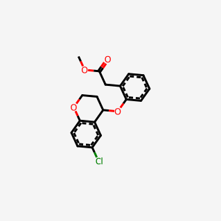 COC(=O)Cc1ccccc1OC1CCOc2ccc(Cl)cc21